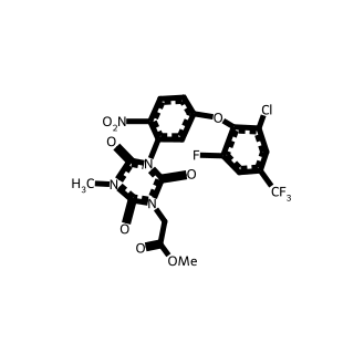 COC(=O)Cn1c(=O)n(C)c(=O)n(-c2cc(Oc3c(F)cc(C(F)(F)F)cc3Cl)ccc2[N+](=O)[O-])c1=O